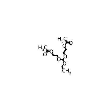 CCOC(OCCOC(C)=O)OCCOC(C)=O